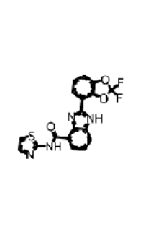 O=C(Nc1nccs1)c1cccc2[nH]c(-c3cccc4c3OC(F)(F)O4)nc12